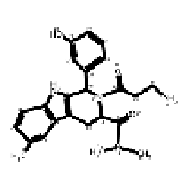 Cc1ccc2[nH]c3c(c2c1)CC(C(=O)N(C)C)N(C(=O)CCN)C3c1cccc(O)c1